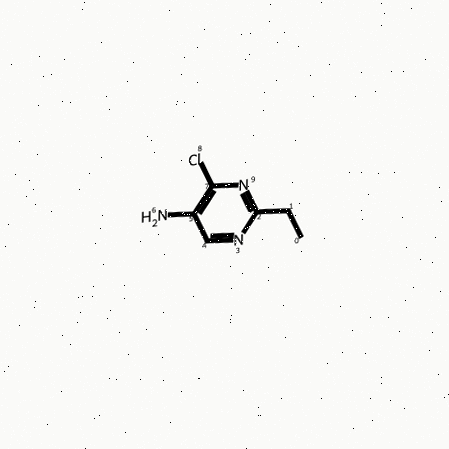 CCc1ncc(N)c(Cl)n1